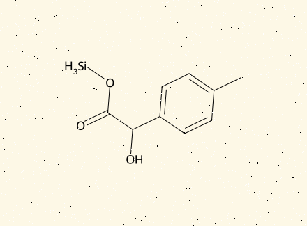 Cc1ccc(C(O)C(=O)O[SiH3])cc1